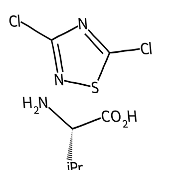 CC(C)[C@H](N)C(=O)O.Clc1nsc(Cl)n1